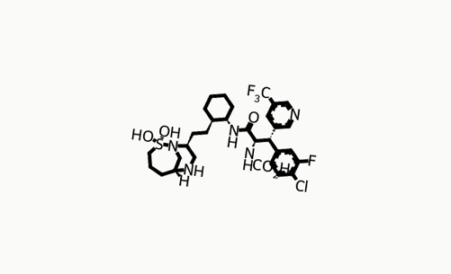 O=C(O)N[C@H](C(=O)N[C@H]1CCCC[C@@H]1CC[C@H]1CN[C@@H]2CCCS(O)(O)N1C2)[C@H](c1cncc(C(F)(F)F)c1)c1ccc(Cl)c(F)c1